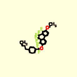 C=CCCC1=CCC=C(C(F)(F)Oc2ccc3c(c2F)C(F)(F)C(F)(F)c2c-3ccc(OCC)c2F)C=C1